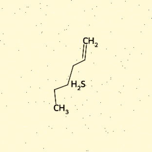 C=CCCCC.S